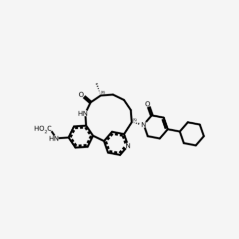 C[C@@H]1CCC[C@H](N2CCC(C3CCCCC3)=CC2=O)c2cc(ccn2)-c2ccc(NC(=O)O)cc2NC1=O